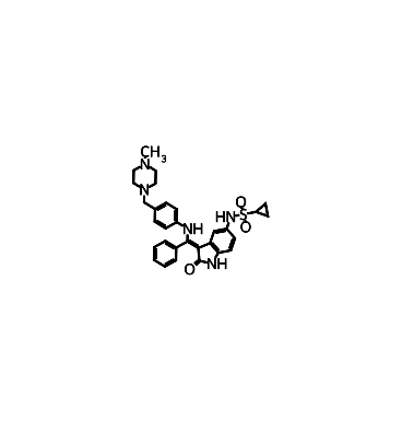 CN1CCN(Cc2ccc(NC(=C3C(=O)Nc4ccc(NS(=O)(=O)C5CC5)cc43)c3ccccc3)cc2)CC1